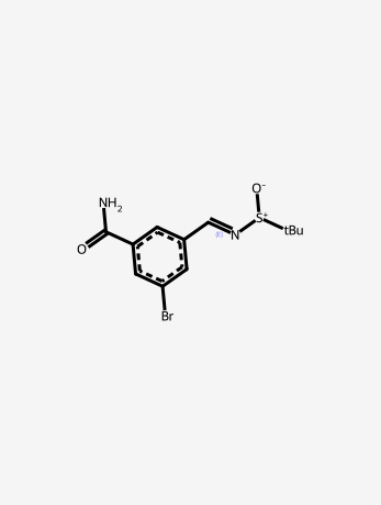 CC(C)(C)[S+]([O-])/N=C/c1cc(Br)cc(C(N)=O)c1